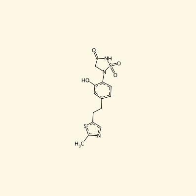 Cc1ncc(CCc2ccc(N3CC(=O)NS3(=O)=O)c(O)c2)s1